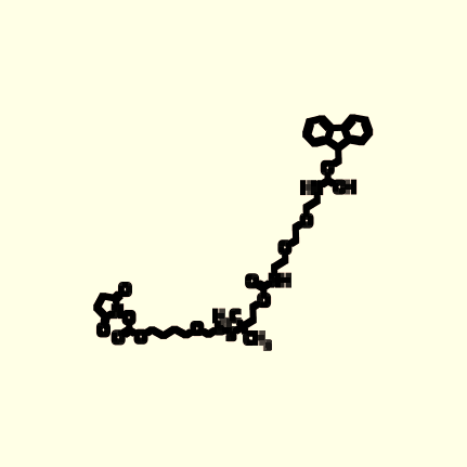 CC(C)(CCOC(=O)NCCOCCOCCNC(O)OCC1c2ccccc2-c2ccccc21)SSCOCCCCOC(=O)ON1C(=O)CCC1=O